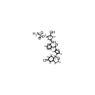 NS(=O)(=O)OC[C@H]1C[C@@H](Nc2ncncc2C(=O)c2cc([C@H]3OCCc4cc(Cl)ccc43)cs2)C[C@@H]1O